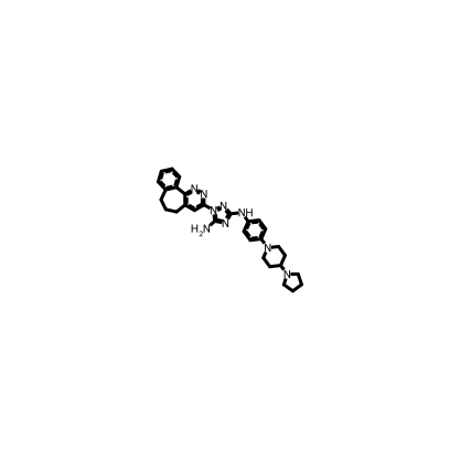 Nc1nc(Nc2ccc(N3CCC(N4CCCC4)CC3)cc2)nn1-c1cc2c(nn1)-c1ccccc1CCC2